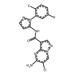 Nc1nc2c(C(=O)Nc3ccnn3-c3cc(F)ccc3F)cnn2cc1Cl